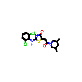 CC1CC(C)CN(C(=O)C=C2SC(Nc3c(Cl)cccc3Cl)=NC2=O)C1